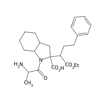 CCOC(=O)C(CCc1ccccc1)C1(C(=O)O)CC2CCCCC2N1C(=O)C(C)N